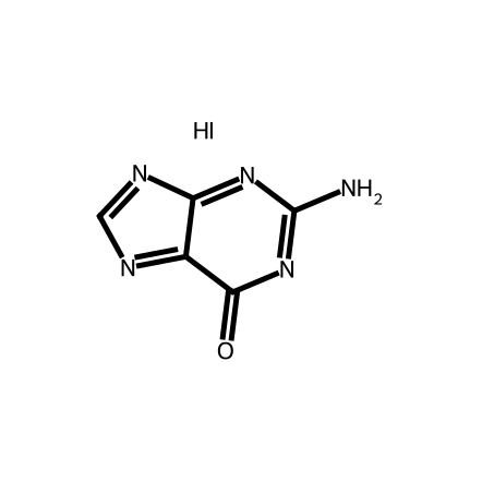 I.NC1=NC(=O)C2=NC=NC2=N1